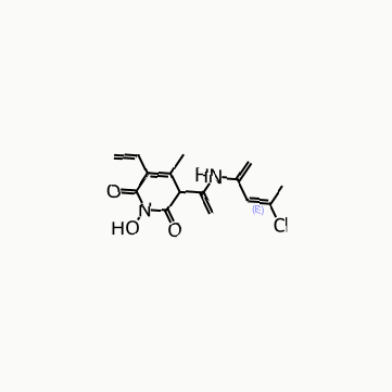 C=CC1=C(C)C(C(=C)NC(=C)/C=C(\C)Cl)C(=O)N(O)C1=O